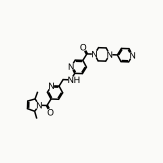 CC1C=CC(C)N1C(=O)c1ccc(CNc2ccc(C(=O)N3CCN(c4ccncc4)CC3)cn2)nc1